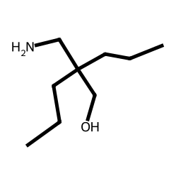 CCCC(CN)(CO)CCC